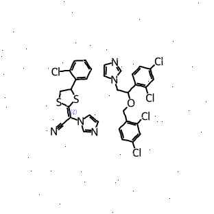 Clc1ccc(COC(Cn2ccnc2)c2ccc(Cl)cc2Cl)c(Cl)c1.N#C/C(=C1\SCC(c2ccccc2Cl)S1)n1ccnc1